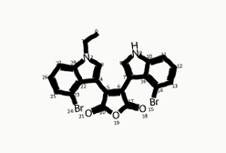 CCn1cc(C2=C(c3c[nH]c4cccc(Br)c34)C(=O)OC2=O)c2c(Br)cccc21